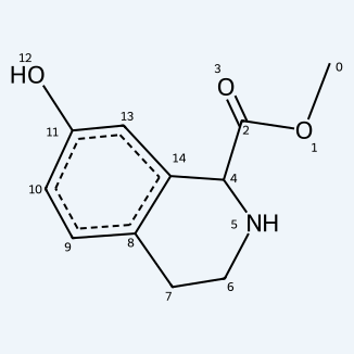 COC(=O)C1NCCc2ccc(O)cc21